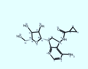 Nc1ncnc2c1N(NC(=O)C1CC1)CN2[C@@H]1O[C@H](CO)C(O)C1O